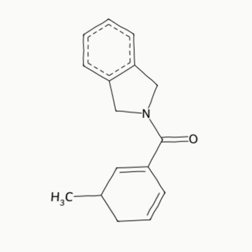 CC1C=C(C(=O)N2Cc3ccccc3C2)C=CC1